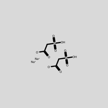 O=C([O-])CS(=O)(=O)O.O=C([O-])CS(=O)(=O)O.[Na+].[Na+]